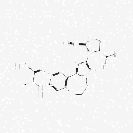 C[C@H](Nc1ccc2c(c1)OC[C@@H](C)n1cc(N3C(=C=O)OC[C@H]3C(F)F)nc1-2)C(N)=O